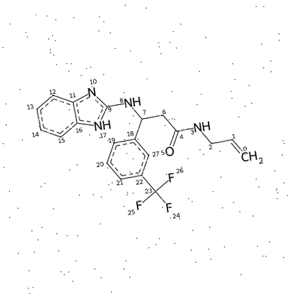 C=CCNC(=O)CC(Nc1nc2ccccc2[nH]1)c1cccc(C(F)(F)F)c1